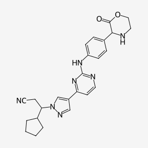 N#CCC(C1CCCC1)n1cc(-c2ccnc(Nc3ccc(C4NCCOC4=O)cc3)n2)cn1